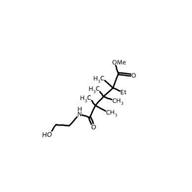 CCC(C)(C(=O)OC)C(C)(C)C(C)(C)C(=O)NCCO